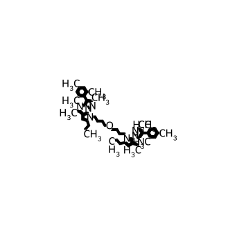 CCCc1cc2c(C)nc3c(-c4c(C)cc(C)cc4C)c(C)nn3c2n1CCCCOCCCCn1c(CCC)cc2c(C)nc3c(-c4c(C)cc(C)cc4C)c(C)nn3c21